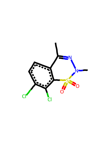 CC1=NN(C)S(=O)(=O)c2c1ccc(Cl)c2Cl